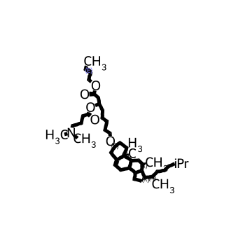 C/C=C/COC(=O)CC(CCCCCO[C@H]1CC[C@@]2(C)C(=CCC3C4CC[C@H]([C@H](C)CCCC(C)C)C4[C@H](C)CC32)C1)OC(=O)CCCN(C)C